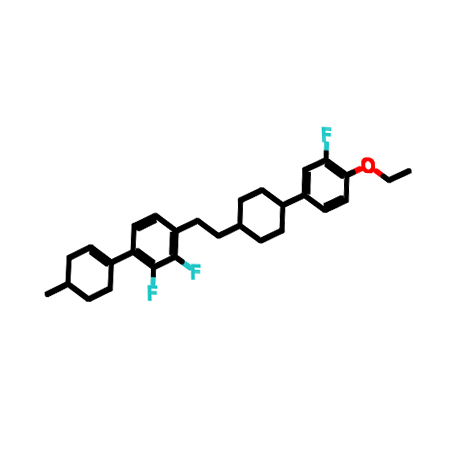 CCOc1ccc(C2CCC(CCc3ccc(C4=CCC(C)CC4)c(F)c3F)CC2)cc1F